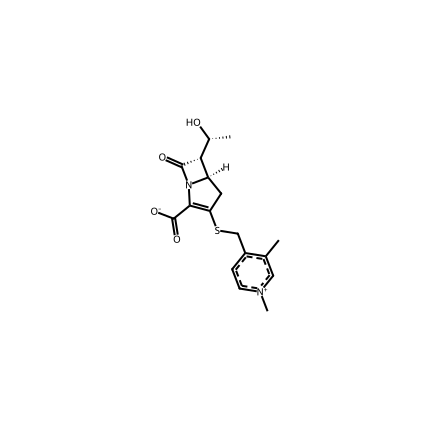 Cc1c[n+](C)ccc1CSC1=C(C(=O)[O-])N2C(=O)[C@H]([C@@H](C)O)[C@H]2C1